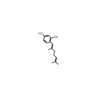 CC(C)=CCC/C(C)=C/c1ccc(O)cc1O